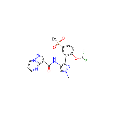 CCS(=O)(=O)c1ccc(OC(F)F)c(-c2nn(C)cc2NC(=O)c2cnn3cccnc23)c1